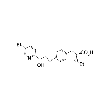 CCO[C@@H](Cc1ccc(OC[C@H](O)c2ccc(CC)cn2)cc1)C(=O)O